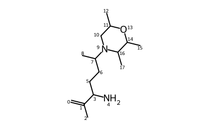 C=C(C)C(N)CCC(C)N1CC(C)OC(C)C1C